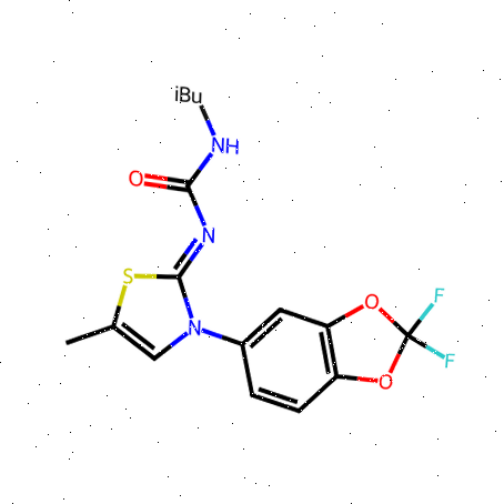 CCC(C)NC(=O)N=c1sc(C)cn1-c1ccc2c(c1)OC(F)(F)O2